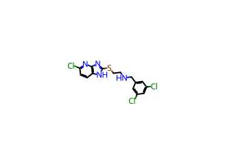 Clc1cc(Cl)cc(CNCCSc2nc3nc(Cl)ccc3[nH]2)c1